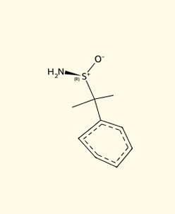 CC(C)(c1ccccc1)[S@@+](N)[O-]